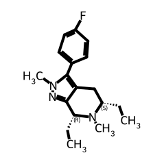 CC[C@H]1Cc2c(nn(C)c2-c2ccc(F)cc2)[C@@H](CC)N1C